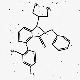 CCC(CC)n1c2cccc(-c3ccc(C)cc3C)c2c(=O)n1Cc1ccccc1